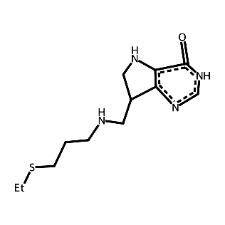 CCSCCCNCC1CNc2c1nc[nH]c2=O